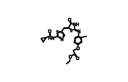 CCOC(=O)COc1ccc(/N=C2/NC(=O)/C(=C/c3cnc(NC(=O)C4CC4)s3)S2)c(C)c1